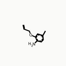 C=CCOc1cc(C)ccc1N